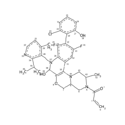 C=CC(=O)N1CC2COC3=C(c4cc(F)c(-c5c(O)cccc5Cl)c(F)c4N(c4c(C)ccnc4C(C)C)C3O)N2CC1C